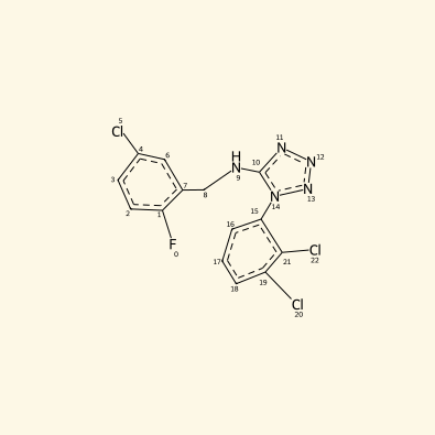 Fc1ccc(Cl)cc1CNc1nnnn1-c1cccc(Cl)c1Cl